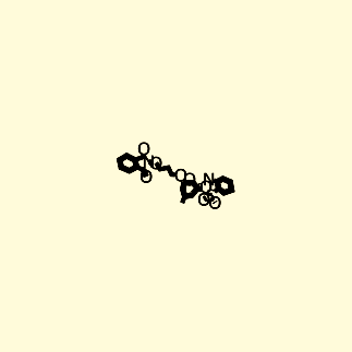 Cc1cc(OCCCON2C(=O)c3ccccc3C2=O)cc(OS(=O)(=O)c2ccccc2[N+](=O)[O-])c1